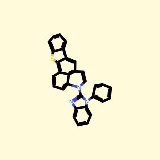 C1=CN(c2nc3ccccc3n2-c2ccccc2)c2cccc3c2c1cc1c2ccccc2sc31